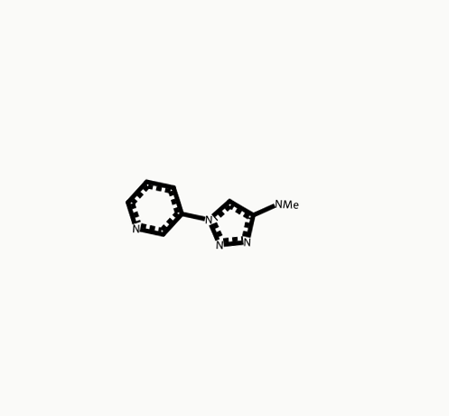 CNc1cn(-c2cccnc2)nn1